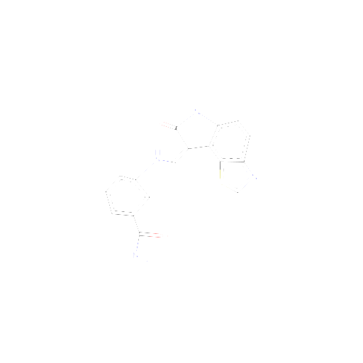 NC(=O)c1cccc(N/C=C2\C(=O)Nc3ccc4ncsc4c32)c1